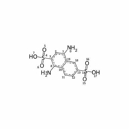 Nc1cc(S(=O)(=O)O)c(N)c2ccc(S(=O)(=O)O)cc12